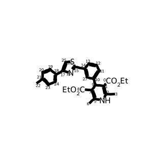 CCOC(=O)C1=C(C)NC(C)=C(C(=O)OCC)C1c1cccc(-c2nc(-c3ccc(C)cc3)cs2)c1